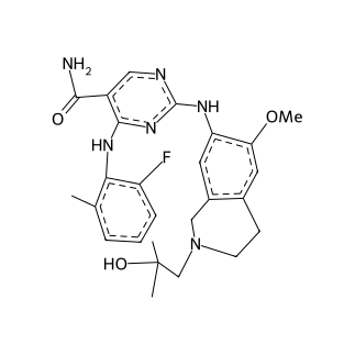 COc1cc2c(cc1Nc1ncc(C(N)=O)c(Nc3c(C)cccc3F)n1)CN(CC(C)(C)O)CC2